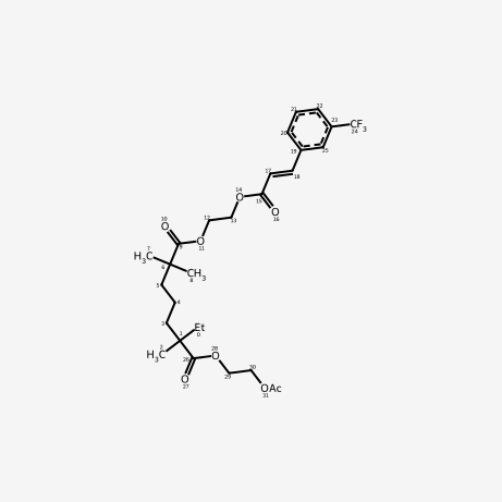 CCC(C)(CCCC(C)(C)C(=O)OCCOC(=O)/C=C/c1cccc(C(F)(F)F)c1)C(=O)OCCOC(C)=O